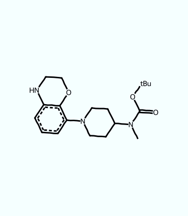 CN(C(=O)OC(C)(C)C)C1CCN(c2cccc3c2OCCN3)CC1